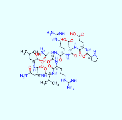 CC(C)C[C@H](NC(=O)[C@H](CC(N)=O)NC(=O)[C@@H](NC(=O)[C@H](CCCNC(=N)N)NC(=O)[C@H](CC(N)=O)NC(=O)[C@H](CCCNC(=N)N)NC(=O)[C@H](CC(=O)O)NC(=O)[C@H](CCC(=O)O)NC(=O)[C@@H]1CCCN1)C(C)C)C(=O)O